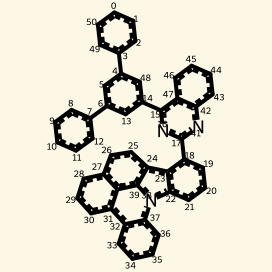 c1ccc(-c2cc(-c3ccccc3)cc(-c3nc(-c4cccc5c4c4ccc6cccc7c8ccccc8n5c4c67)nc4ccccc34)c2)cc1